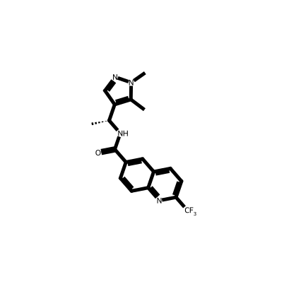 Cc1c([C@@H](C)NC(=O)c2ccc3nc(C(F)(F)F)ccc3c2)cnn1C